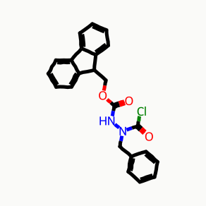 O=C(NN(Cc1ccccc1)C(=O)Cl)OCC1c2ccccc2-c2ccccc21